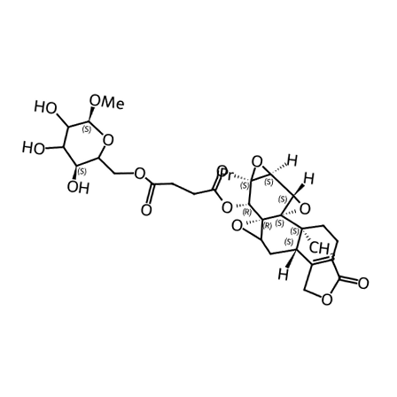 CO[C@H]1OC(COC(=O)CCC(=O)O[C@@H]2[C@@]3(C(C)C)O[C@H]3[C@@H]3O[C@@]34[C@@]3(C)CCC5=C(COC5=O)[C@@H]3CC3O[C@]324)[C@@H](O)C(O)C1O